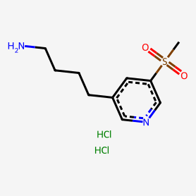 CS(=O)(=O)c1cncc(CCCCN)c1.Cl.Cl